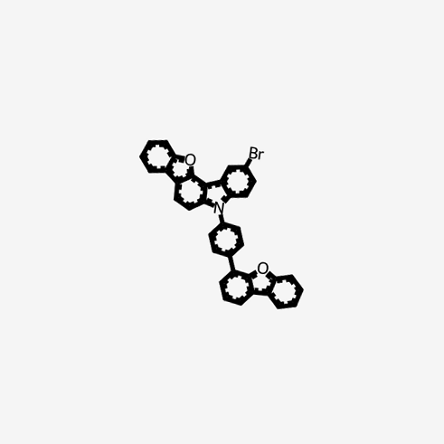 Brc1ccc2c(c1)c1c3oc4ccccc4c3ccc1n2-c1ccc(-c2cccc3c2oc2ccccc23)cc1